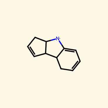 C1=CCC2C(=C1)[N]C1CC=CC12